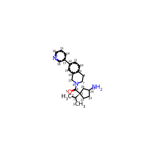 CC(C)[C@]1(C(=O)N2CCc3ccc(-c4cccnc4)cc3C2)CCC(N)C1